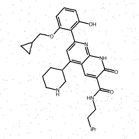 CC(C)CCNC(=O)c1cc2c(C3CCCNC3)cc(-c3c(O)cccc3OCC3CC3)nc2[nH]c1=O